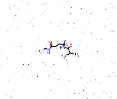 CCNC(=O)CCC(C)NC(=O)C(C)C